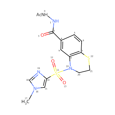 CC(=O)NNC(=O)c1ccc2c(c1)N(S(=O)(=O)c1cn(C)cn1)CCS2